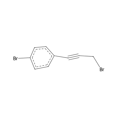 BrCC#Cc1ccc(Br)cc1